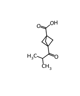 CC(C)C(=O)C12CC(C(=O)O)(C1)C2